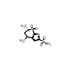 CC1C[C@H](C)S(=O)(=O)c2sc(S(N)(=O)=O)cc21